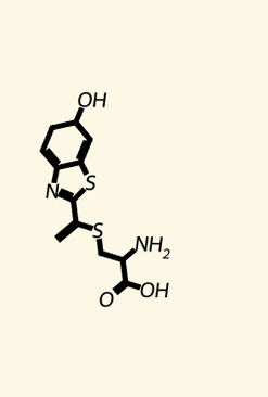 C=C(SCC(N)C(=O)O)c1nc2c(s1)=CC(O)CC=2